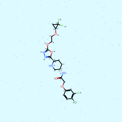 O=C(COc1ccc(Cl)c(F)c1)N[C@H]1CC[C@H](c2nnc(OCCO[C@H]3CC3(F)F)o2)NC1